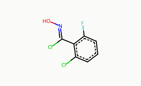 ON=C(Cl)c1c(F)cccc1Cl